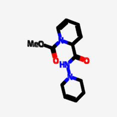 COC(=O)N1C=CC=CC1C(=O)NN1CC=CCC1